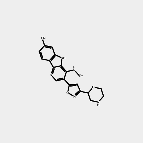 CC(C)Nc1c(-c2cc(C3CNCCO3)no2)cnc2c1[nH]c1cc(C#N)ccc12